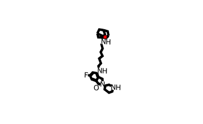 O=C1c2cc(F)cc(NCCCCCCCNC34CC5CC(CC(C5)C3)C4)c2CN1C1CCCNC1